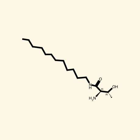 CCCCCCCCCCCCNC(=O)[C@H](N)[C@@H](C)O